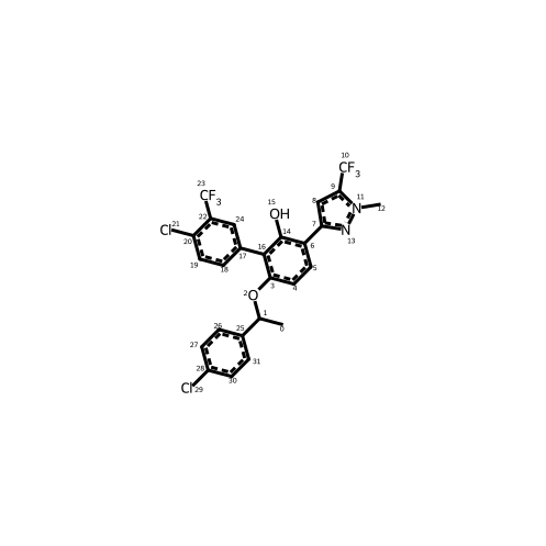 CC(Oc1ccc(-c2cc(C(F)(F)F)n(C)n2)c(O)c1-c1ccc(Cl)c(C(F)(F)F)c1)c1ccc(Cl)cc1